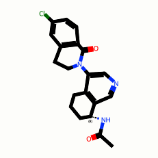 CC(=O)N[C@@H]1CCCc2c1cncc2N1CCc2cc(Cl)ccc2C1=O